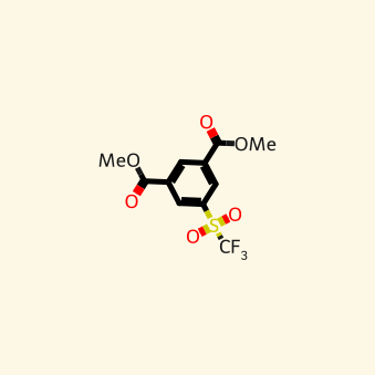 COC(=O)c1cc(C(=O)OC)cc(S(=O)(=O)C(F)(F)F)c1